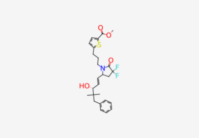 COC(=O)c1ccc(CCCN2C(=O)C(F)(F)CC2/C=C/[C@@H](O)C(C)(C)Cc2ccccc2)s1